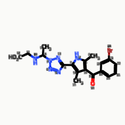 Cc1[nH]c(-c2nnn(C(C)NCC(=O)O)n2)c(C)c1C(=O)c1cccc(Br)c1